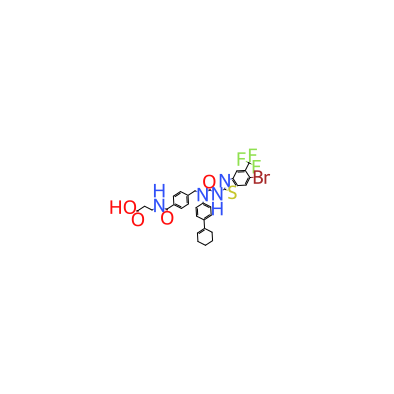 O=C(O)CCNC(=O)c1ccc(CN(C(=O)Nc2nc3cc(C(F)(F)F)c(Br)cc3s2)c2ccc(C3=CCCCC3)cc2)cc1